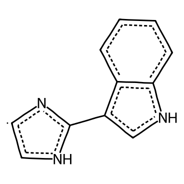 [c]1c[nH]c(-c2c[nH]c3ccccc23)n1